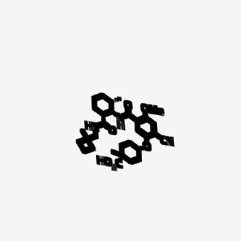 COc1cc(C#N)c(O[C@H]2CC[C@@](C)(C(=O)O)CC2)cc1C(=O)N[C@H]1[C@@H](C(=O)NCC2(C)CCC2)CCC[C@@H]1C